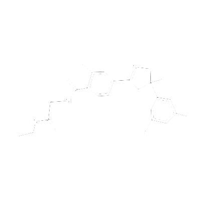 Cc1cc(C2=NOC(c3cc(Cl)cc(C(F)(F)F)c3)(C(F)(F)F)C2)ccc1C(=O)NCC(=O)NCC(F)(F)F